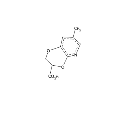 O=C(O)C1COc2cc(C(F)(F)F)cnc2O1